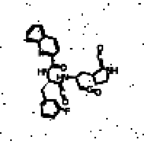 O=C=C[C@H](C[C@@H]1CCNC1=C=O)NC(=C=O)[C@H](Cc1cccc(F)c1)NC(=O)c1ccc2ccccc2n1